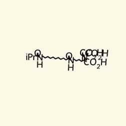 CC(C)C(=O)NCCCCCCCCCCC(=O)NCCCCC(C(=O)O)N(CC(=O)O)CC(=O)O